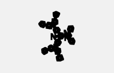 N#Cc1c(-c2ccc(-n3c4ccc(-c5ccccc5)cc4c4cc(-c5ccccc5)ccc43)cc2)cc(-c2nc(-c3ccccc3)cc(-c3ccccc3)n2)cc1-c1ccc(-n2c3ccc(-c4ccccc4)cc3c3cc(-c4ccccc4)ccc32)cc1